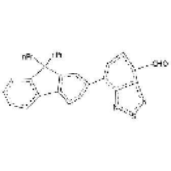 CCCC1(CCC)c2ccccc2-c2ccc(-c3ccc(C=O)c4nsnc34)cc21